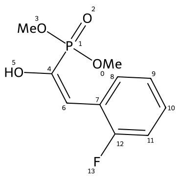 COP(=O)(OC)C(O)=Cc1ccccc1F